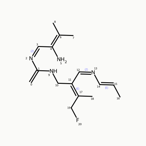 C=C(/N=C\C(N)=C(C)C)NCC(/C=N\C=C\C)=C(/C)CF